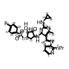 CCCc1nccc2sc(-c3c(C)nc(NC4CC4)nc3NC3C[C@H](CS(=O)(=O)c4ccc(F)cc4)[C@@H](O)[C@H]3O)nc12